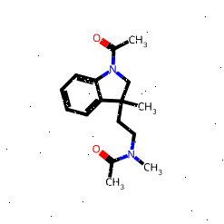 CC(=O)N(C)CCC1(C)CN(C(C)=O)c2ccccc21